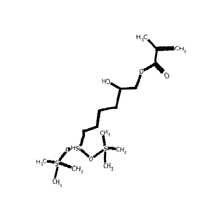 C=C(C)C(=O)OCC(O)CCCC[SiH](O[Si](C)(C)C)O[Si](C)(C)C